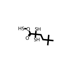 CC(C)(C)CCC(S)(S)C(=O)OS